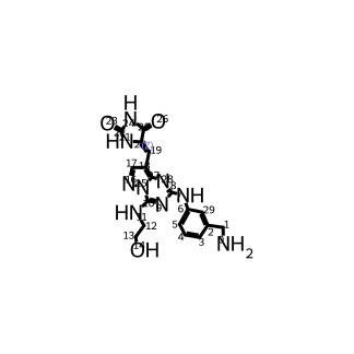 NCc1cccc(Nc2nc(NCCO)n3ncc(/C=C4\NC(=O)NC4=O)c3n2)c1